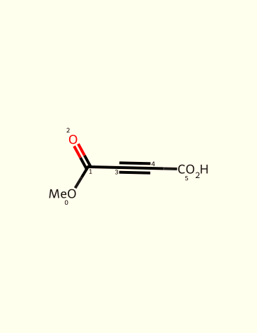 [CH2]OC(=O)C#CC(=O)O